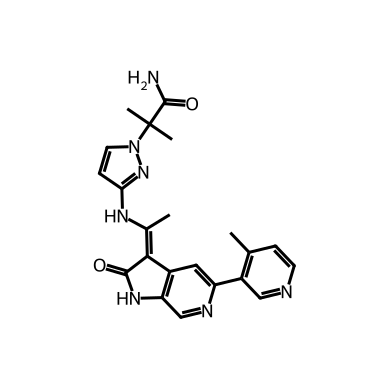 C/C(Nc1ccn(C(C)(C)C(N)=O)n1)=C1/C(=O)Nc2cnc(-c3cnccc3C)cc21